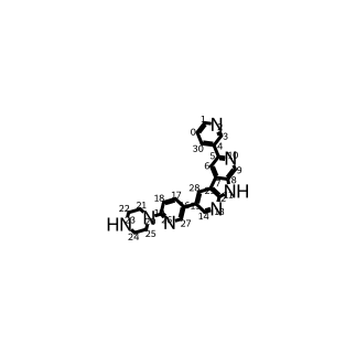 c1cncc(-c2cc3c(cn2)[nH]c2ncc(-c4ccc(N5CCNCC5)nc4)cc23)c1